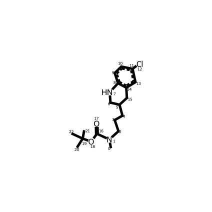 CN(CCCC1CNc2ccc(Cl)cc2C1)C(=O)OC(C)(C)C